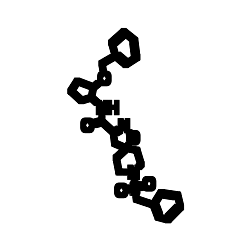 O=C(NC1CCCC1OCc1ccccc1)C1=NOC2(CCN(S(=O)(=O)Cc3ccccc3)CC2)C1